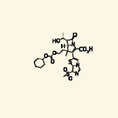 C[C@@H](O)[C@H]1C(=O)N2C(C(=O)O)=C(c3cn4cnc(S(C)(=O)=O)c4s3)C(C)(CCOC(=O)OC3CCCCC3)[C@@H]12